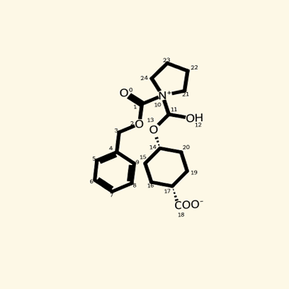 O=C(OCc1ccccc1)[N+]1(C(O)O[C@H]2CC[C@@H](C(=O)[O-])CC2)CCCC1